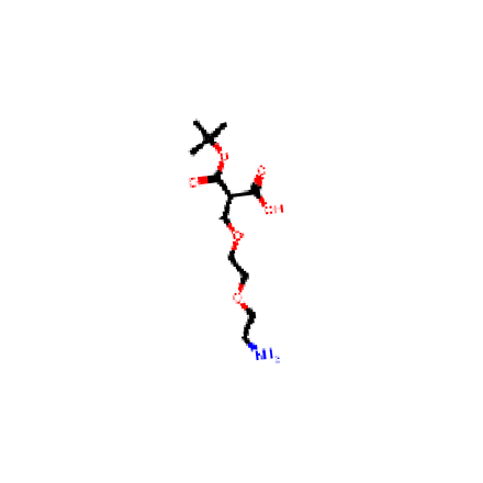 CC(C)(C)OC(=O)C(COCCOCCN)C(=O)O